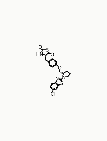 O=C1NC(Cc2ccc(OC[C@@H]3CCCN3c3nc4ccc(Cl)cc4s3)cc2)C(=O)S1